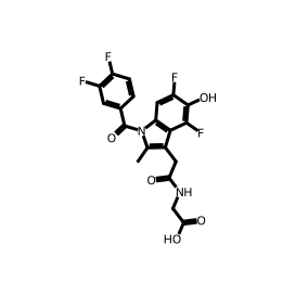 Cc1c(CC(=O)NCC(=O)O)c2c(F)c(O)c(F)cc2n1C(=O)c1ccc(F)c(F)c1